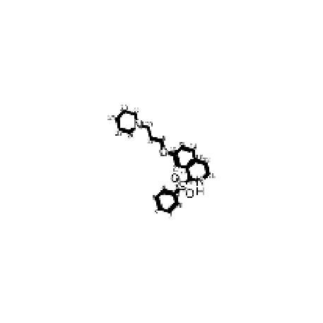 O=S(=O)(c1ccccc1)C1NCCc2ccc(OCCCN3CCCCC3)cc21